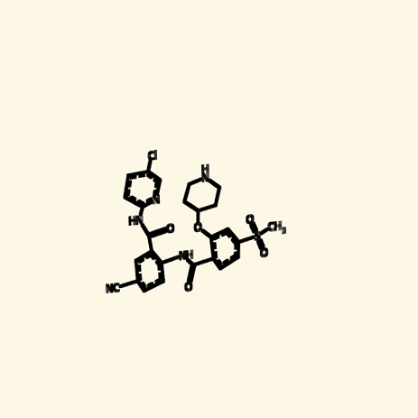 CS(=O)(=O)c1ccc(C(=O)Nc2ccc(C#N)cc2C(=O)Nc2ccc(Cl)cn2)c(OC2CCNCC2)c1